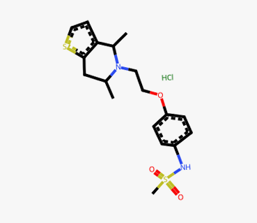 CC1Cc2sccc2C(C)N1CCOc1ccc(NS(C)(=O)=O)cc1.Cl